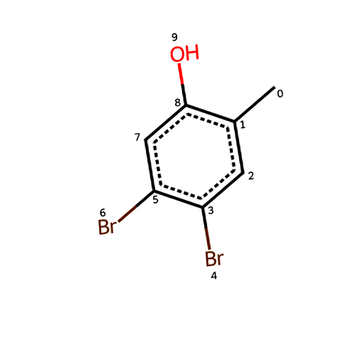 Cc1cc(Br)c(Br)cc1O